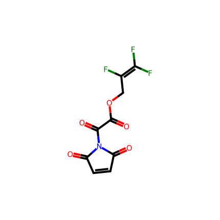 O=C(OCC(F)=C(F)F)C(=O)N1C(=O)C=CC1=O